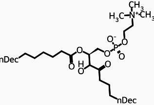 CCCCCCCCCCCCCCCC(=O)O[C@@H](COP(=O)([O-])OCC[N+](C)(C)C)C(O)C(=O)CCCCCCCCCCCCC